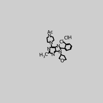 CC(=O)N1CCN(c2nc(C)nc3c2nc(-c2ccccc2Cl)n3C2CCOC2)CC1.Cl